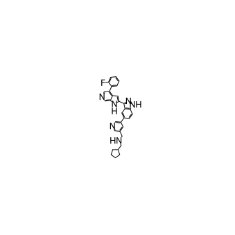 Fc1ccccc1-c1cncc2[nH]c(-c3n[nH]c4ccc(-c5cncc(CNCC6CCCC6)c5)cc34)cc12